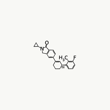 Cc1c(F)cccc1[C@@H]1C=C(c2ccc3c(c2)CN(C2CC2)C3=O)CCC1